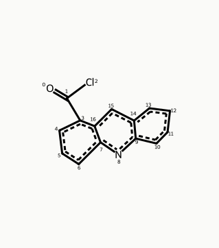 O=C(Cl)c1cccc2nc3ccccc3cc12